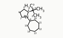 CC(C)(C)[C@@H]1CCCN1C1CCCCCC1